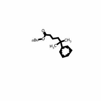 CCCCOC(=O)CCCC(C)(C)c1ccccc1